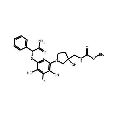 CCc1c(C#N)c(S[C@@H](C(N)=O)c2ccccc2)nc(N2CC[C@](O)(CNC(=O)OC(C)(C)C)C2)c1C#N